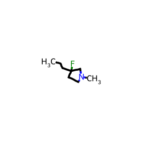 CCCC1(F)CCN(C)C1